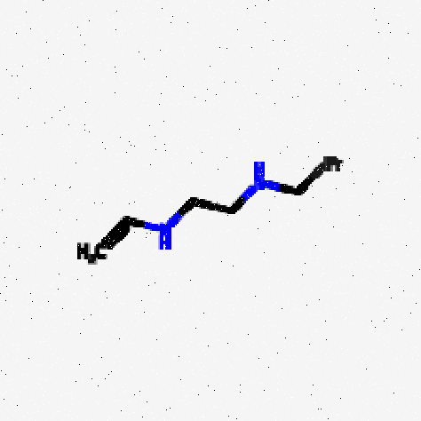 C=CNCCNCC(C)C